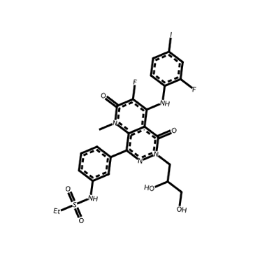 CCS(=O)(=O)Nc1cccc(-c2nn(CC(O)CO)c(=O)c3c(Nc4ccc(I)cc4F)c(F)c(=O)n(C)c23)c1